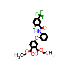 CCOC(=O)c1ccc(Oc2ccccc2NC(=O)c2cc(C(F)(F)F)ccc2F)cc1C(=O)OCC